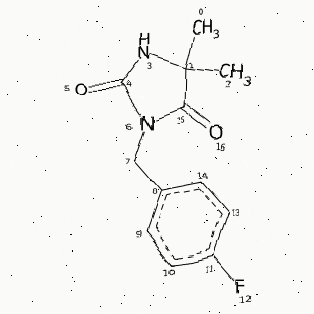 CC1(C)NC(=O)N(Cc2ccc(F)cc2)C1=O